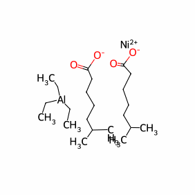 CC(C)CCCCC(=O)[O-].CC(C)CCCCC(=O)[O-].C[CH2][Al]([CH2]C)[CH2]C.[Ni+2]